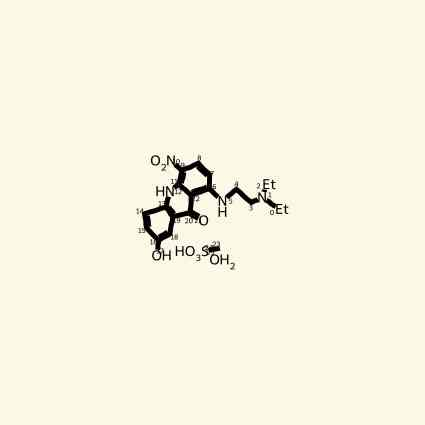 CCN(CC)CCNc1ccc([N+](=O)[O-])c2[nH]c3ccc(O)cc3c(=O)c12.CS(=O)(=O)O.O